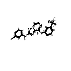 Cc1cccc(Nc2nc3c(Nc4cccc(C(F)(F)F)c4)nccn3n2)c1